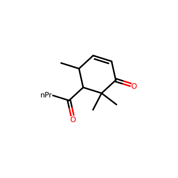 CCCC(=O)C1C(C)C=CC(=O)C1(C)C